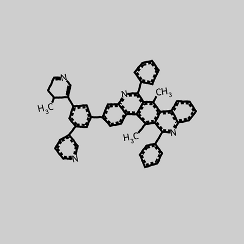 Cc1c2c(-c3ccccc3)nc3cc(-c4cc(C5=CN=CCC5C)cc(-c5cccnc5)c4)ccc3c2c(C)c2c(-c3ccccc3)nc3ccccc3c12